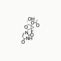 CC(=O)OC12CC1(F)[C@H](n1ccc(=O)[nH]c1=O)O[C@@H]2CO